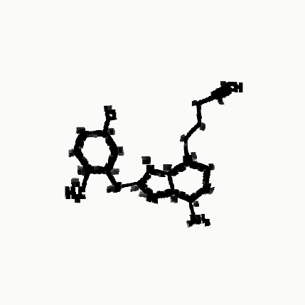 C#CCCCn1cnc(N)c2nc(Sc3cc(Cl)ccc3C)nc1-2